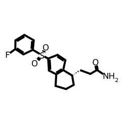 NC(=O)CC[C@@H]1CCCc2cc(S(=O)(=O)c3cccc(F)c3)ccc21